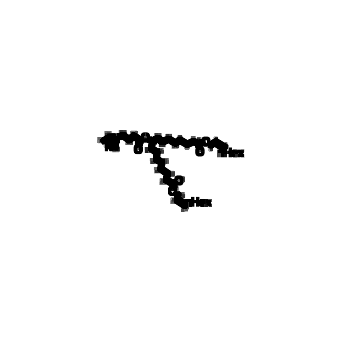 CCCCCC/C=C\COC(=O)CCCCCCCC(CCCCCCCC(=O)OC/C=C\CCCCCC)OC(=O)CCCn1ccnc1